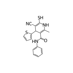 CC1=C(C(=O)Nc2ccccc2)C(c2cccs2)C(C#N)=C(S)N1